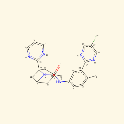 Cc1ccc(NC(=O)N2C3CC(C)CC2(c2ncccn2)C3)cc1-c1ncc(F)cn1